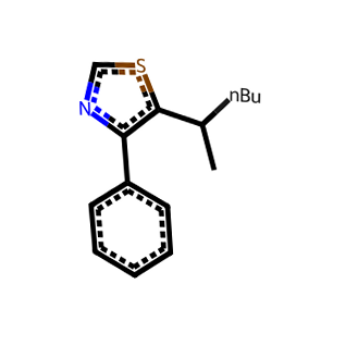 [CH2]CCCC(C)c1scnc1-c1ccccc1